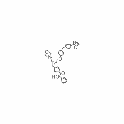 O=C(c1ccc(CN(CCOc2ccc(Cc3ccc(-c4ncco4)cc3)cc2)CCN2CCOCC2)cc1)C(O)c1ccccc1